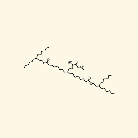 CCCCCCC(CCCCCC)CCOC(=O)CCCCCCCC(CCCCCCCC(=O)OCCC(CCCCCC)CCCCCC)COC(O)C(C)CNC